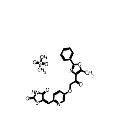 CS(=O)(=O)O.Cc1oc(-c2ccccc2)nc1C(=O)COc1ccc(C=C2SC(=O)NC2=O)nc1